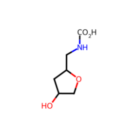 O=C(O)NCC1CC(O)CO1